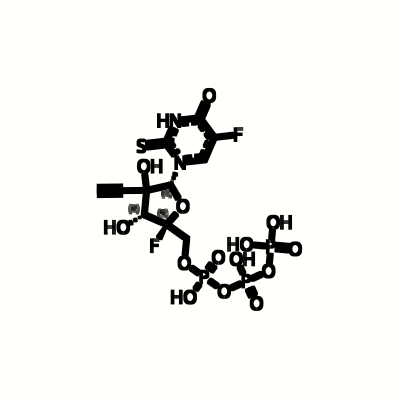 C#CC1(O)[C@@H](O)[C@@](F)(COP(=O)(O)OP(=O)(O)OP(=O)(O)O)O[C@H]1n1cc(F)c(=O)[nH]c1=S